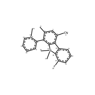 Cc1cc(C#N)c2c(c1-c1cccc[n+]1C)[Si](C)(C)c1c(F)cccc1-2